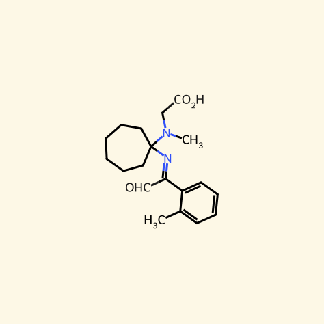 Cc1ccccc1/C(C=O)=N/C1(N(C)CC(=O)O)CCCCCC1